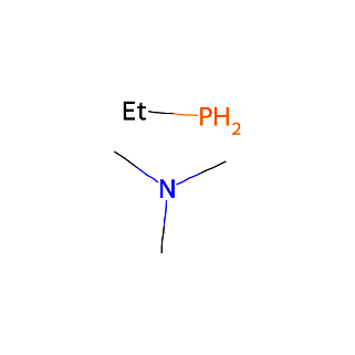 CCP.CN(C)C